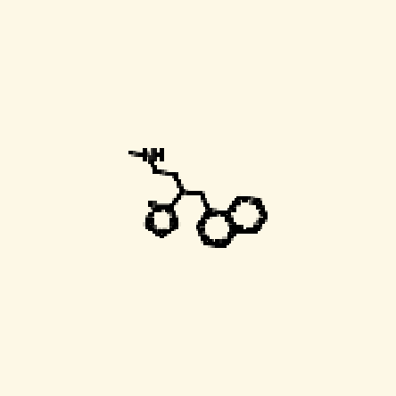 CNCCC(Cc1cccc2ccccc12)c1cccs1